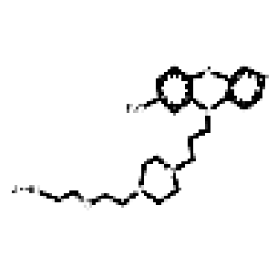 CC(=O)NCCOCCN1CCN(CCCN2c3ccccc3Sc3ccc(C(F)(F)F)cc32)CC1